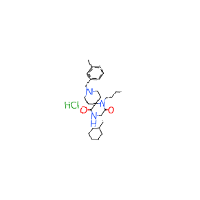 CCCCN1C(=O)[C@H](CC2CCCCC2)NC(=O)C12CCN(Cc1cccc(C)c1)CC2.Cl